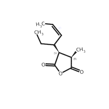 C/C=C\C(CC)[C@@H]1C(=O)OC(=O)[C@@H]1C